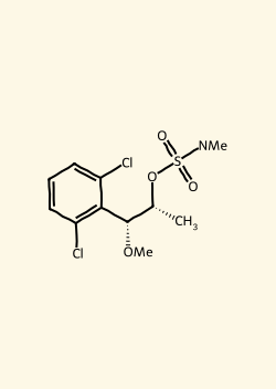 CNS(=O)(=O)O[C@H](C)[C@H](OC)c1c(Cl)cccc1Cl